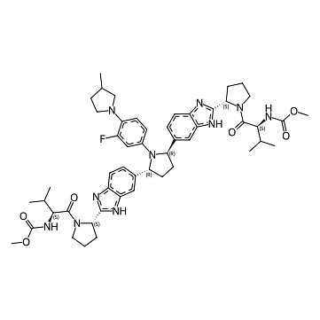 COC(=O)N[C@H](C(=O)N1CCC[C@H]1c1nc2ccc([C@H]3CC[C@H](c4ccc5nc([C@@H]6CCCN6C(=O)[C@@H](NC(=O)OC)C(C)C)[nH]c5c4)N3c3ccc(N4CCC(C)C4)c(F)c3)cc2[nH]1)C(C)C